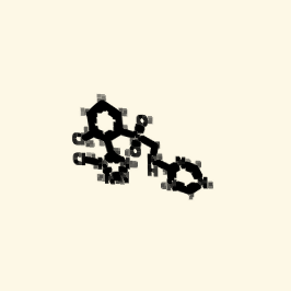 O=S(=O)(CNc1ncncn1)c1cccc(Cl)c1-c1nnnn1Cl